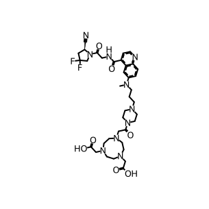 CN(CCCN1CCN(C(=O)CN2CCN(CC(=O)O)CCN(CC(=O)O)CC2)CC1)c1ccc2nccc(C(=O)NCC(=O)N3CC(F)(F)C[C@H]3C#N)c2c1